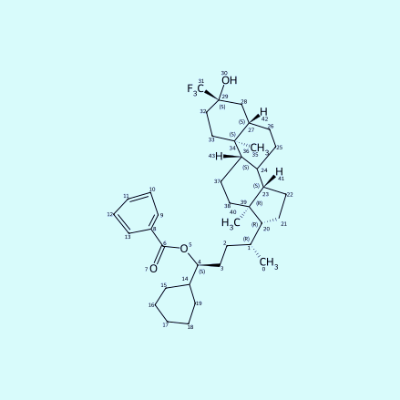 C[C@H](CC[C@H](OC(=O)c1ccccc1)C1CCCCC1)[C@H]1CC[C@H]2C3CC[C@H]4C[C@](O)(C(F)(F)F)CC[C@]4(C)[C@H]3CC[C@]12C